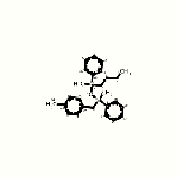 CCCC[Si](C)(O[Si](C)(Cc1ccc(C)cc1)c1ccccc1)c1ccccc1